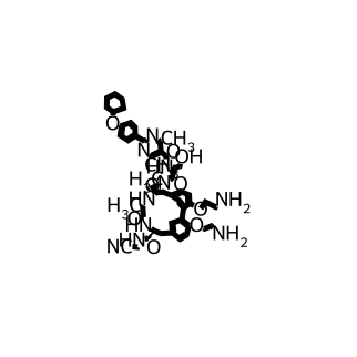 Cc1nc(-c2ccc(OC3CCCCC3)cc2)nc(C)c1C(=O)NC(CO)C(=O)N(C)[C@@H]1C(=O)N[C@@H](C)C(=O)N[C@H](C(=O)NCC#N)Cc2ccc(OCCN)c(c2)-c2cc1ccc2OCCN